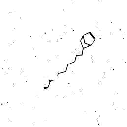 C=CC(=O)OCCCCCCC1CC2C=CC1C2